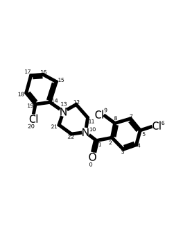 O=C(c1ccc(Cl)cc1Cl)N1CCN(c2ccccc2Cl)CC1